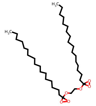 CCCCCCCCCCCCCCCCCC1(OCCOC2(CCCCCCCCCCCCCCCCC)OO2)OO1